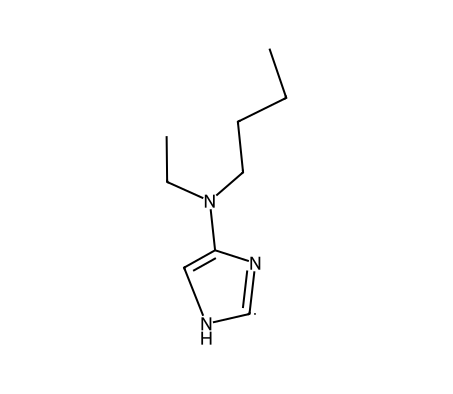 CCCCN(CC)c1c[nH][c]n1